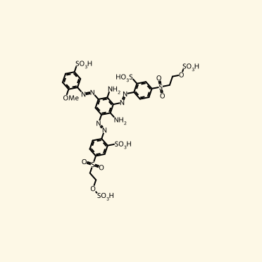 COc1ccc(S(=O)(=O)O)cc1/N=N/c1cc(/N=N/c2ccc(S(=O)(=O)CCOS(=O)(=O)O)cc2S(=O)(=O)O)c(N)c(/N=N/c2ccc(S(=O)(=O)CCOS(=O)(=O)O)cc2S(=O)(=O)O)c1N